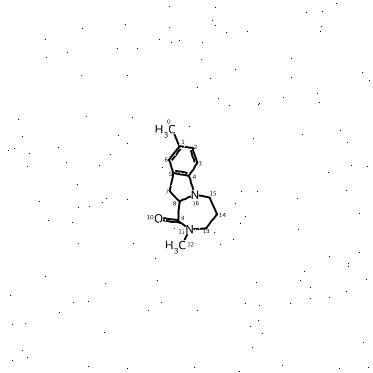 Cc1ccc2c(c1)CC1C(=O)N(C)CCCN21